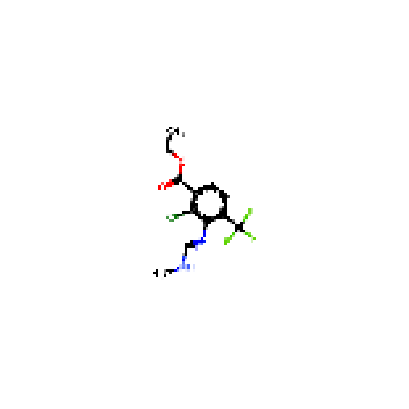 CCOC(=O)c1ccc(C(F)(F)F)c(/N=C/NC)c1Cl